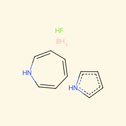 B.C1=CC=CNC=C1.F.c1cc[nH]c1